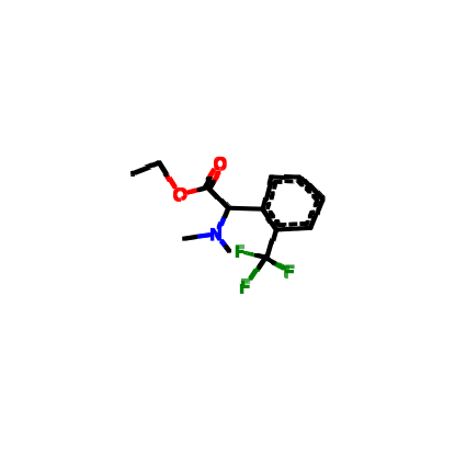 CCOC(=O)C(c1ccccc1C(F)(F)F)N(C)C